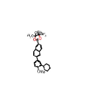 COc1ccc(C2=CC3C=CC(B4OC(C)(C)C(C)(C)O4)=CC3C=C2)cc1C1CCCCC1